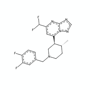 C[C@@H]1CCN(Cc2ccc(F)c(F)c2)C[C@H]1c1cc(C(F)F)nc2ncnn12